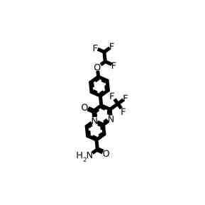 NC(=O)c1ccn2c(=O)c(-c3ccc(OC(F)C(F)F)cc3)c(C(F)(F)F)nc2c1